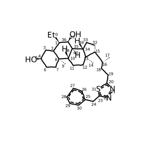 CC[C@@H]1C2C[C@H](O)CC[C@]2(C)[C@H]2CC[C@]3(C)[C@@H]([C@H](C)CCc4nnc(Cc5ccccc5)s4)CC[C@H]3[C@@H]2[C@@H]1O